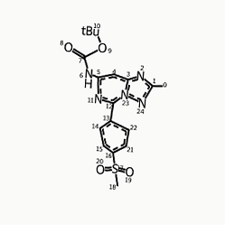 Cc1nc2cc(NC(=O)OC(C)(C)C)nc(-c3ccc(S(C)(=O)=O)cc3)n2n1